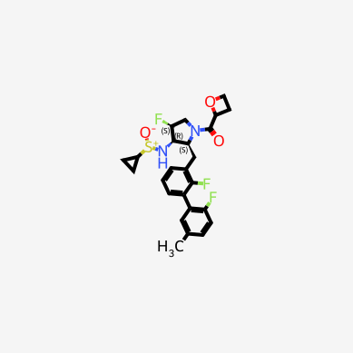 Cc1ccc(F)c(-c2cccc(C[C@H]3[C@@H](N[S+]([O-])C4CC4)[C@@H](F)CN3C(=O)C3CCO3)c2F)c1